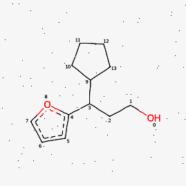 OCCC(c1ccco1)C1CCCC1